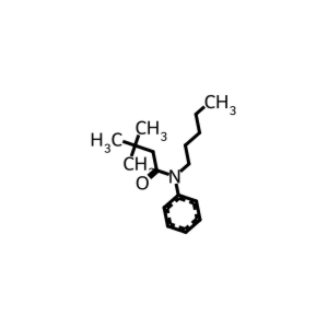 CCCCCN(C(=O)CC(C)(C)C)c1ccccc1